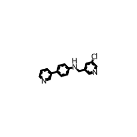 Clc1cncc(CNc2ccc(-c3cccnc3)cc2)c1